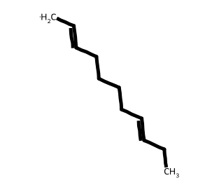 [CH2]C=CCCCCC=CCC